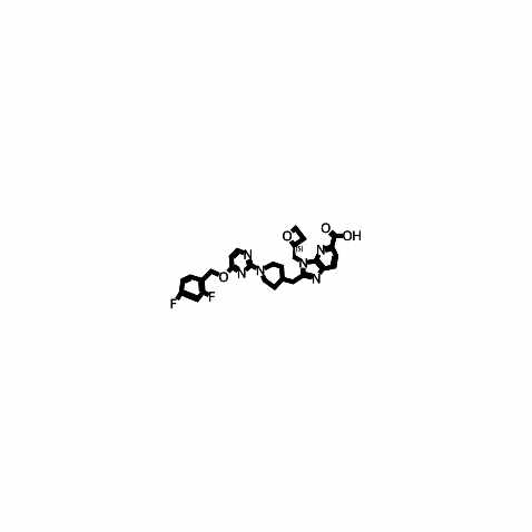 O=C(O)c1ccc2nc(CC3CCN(c4nccc(OCc5ccc(F)cc5F)n4)CC3)n(C[C@@H]3CCO3)c2n1